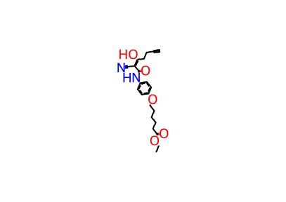 C#CCC/C(O)=C(/C#N)C(=O)Nc1ccc(OCCCCCC(=O)OCC)cc1